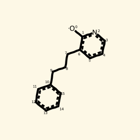 [O]c1ncccc1CCCc1ccccc1